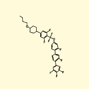 CCCCOC1CCC(c2cc(F)c(C(F)(F)Oc3ccc(-c4ccc(-c5cc(F)c(F)c(F)c5)c(F)c4)c(F)c3)c(F)c2)CC1